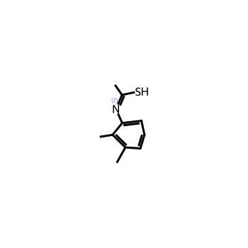 C/C(S)=N/c1cccc(C)c1C